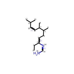 CCC(=C/CC(C)C(C)/C=C\C(C)C)/N=C\N